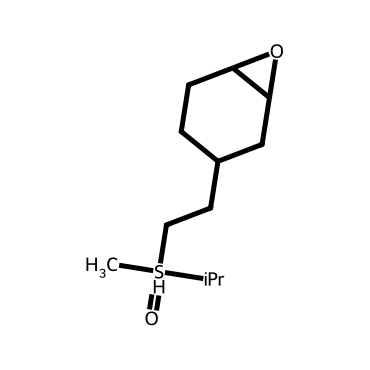 CC(C)[SH](C)(=O)CCC1CCC2OC2C1